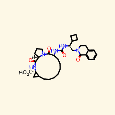 O=C(N[C@H]1CCCCCCCC2C[C@@]2(C(=O)O)NC(=O)[C@@H]2CCCN2C1=O)N[C@H](CN1CCc2ccccc2C1=O)C1CCC1